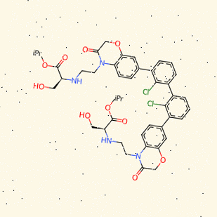 CC(C)OC(=O)[C@H](CO)NCCN1C(=O)COc2cc(-c3cccc(-c4cccc(-c5ccc6c(c5)OCC(=O)N6CCN[C@@H](CO)C(=O)OC(C)C)c4Cl)c3Cl)ccc21